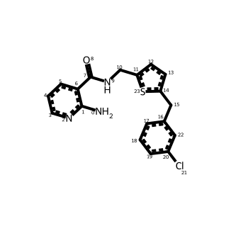 Nc1ncccc1C(=O)NCc1ccc(Cc2cccc(Cl)c2)s1